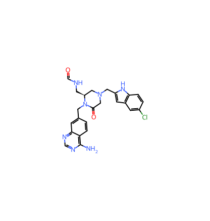 Nc1ncnc2cc(CN3C(=O)CN(Cc4cc5cc(Cl)ccc5[nH]4)C[C@@H]3CNC=O)ccc12